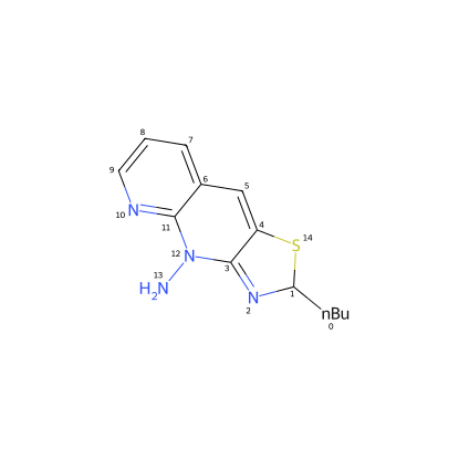 CCCCC1N=C2C(=Cc3cccnc3N2N)S1